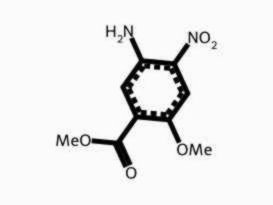 COC(=O)c1cc(N)c([N+](=O)[O-])cc1OC